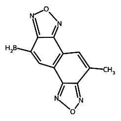 Bc1cc2c(cc(C)c3nonc32)c2nonc12